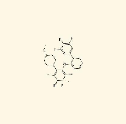 CCC1CCC(C2=C(F)[C@H](F)[C@](C)(F)C(F)=C2Oc2ccccc2-c2cc(F)c(F)c(F)c2)CC1